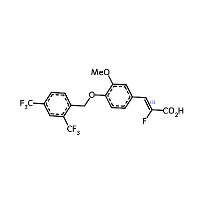 COc1cc(/C=C(\F)C(=O)O)ccc1OCc1ccc(C(F)(F)F)cc1C(F)(F)F